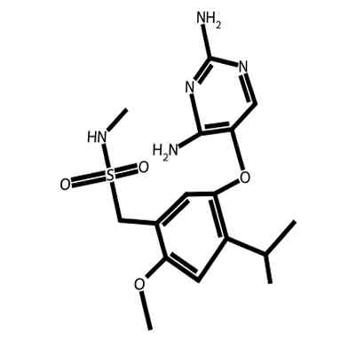 CNS(=O)(=O)Cc1cc(Oc2cnc(N)nc2N)c(C(C)C)cc1OC